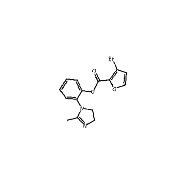 CCc1ccoc1C(=O)Oc1ccccc1N1CCN=C1C